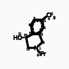 CC(C)N1Cc2cc(C(F)(F)F)ccc2[C@@H](O)C1